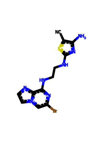 N#Cc1sc(NCCNc2nc(Br)cn3ccnc23)nc1N